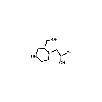 CC[C@@H](O)CN1CCNC[C@H]1CO